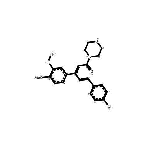 CCCOc1cc(C(C=Cc2ccc(C(F)(F)F)cc2)=CC(=O)N2CCOCC2)ccc1OC